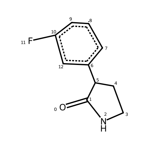 O=C1NCCC1c1c[c]cc(F)c1